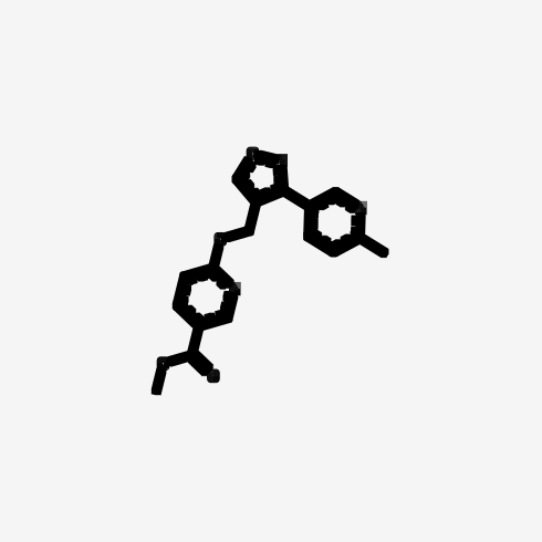 COC(=O)c1ccc(OCc2conc2-c2ccc(C)nc2)nc1